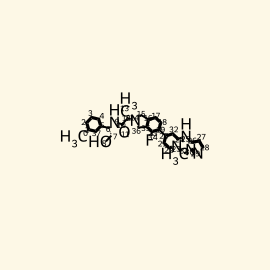 Cc1cccc([C@@H](CO)NC(=O)C(C)N2Cc3ccc(-c4ccnc(Nc5ccnn5C)c4)c(F)c3C2)c1